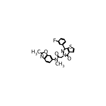 Cc1nc2ccc(N(C)C(=O)Cn3nc(-c4cccc(F)c4)c4sccc4c3=O)cc2o1